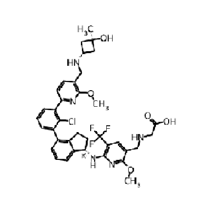 COc1nc(-c2cccc(-c3cccc4c3CC[C@@H]4Nc3nc(OC)c(CNCC(=O)O)cc3C(F)(F)F)c2Cl)ccc1CN[C@H]1C[C@](C)(O)C1